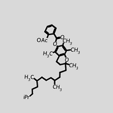 CC(=O)Oc1ccccc1C(=O)Oc1c(C)c(C)c2c(c1C)CCC(C)(CCCC(C)CCCC(C)CCCC(C)C)O2